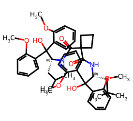 COc1ccccc1C(O)(c1ccccc1OC)[C@@H](CC(C)C)NC(=O)C1(C(=O)N[C@H](CC(C)C)C(O)(c2ccccc2OC)c2ccccc2OC)CCC1